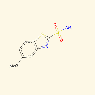 COc1ccc2sc(S(N)(=O)=O)nc2c1